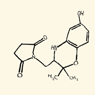 CC1(C)Oc2ccc(O)cc2NC1CN1C(=O)CCC1=O